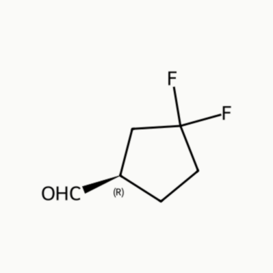 O=C[C@@H]1CCC(F)(F)C1